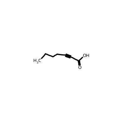 CCCCC#CC(=O)O